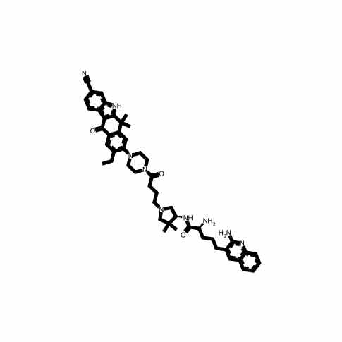 CCc1cc2c(cc1N1CCN(C(=O)CCCN3C[C@H](NC(=O)[C@@H](N)CCCc4cc5ccccc5nc4N)C(C)(C)C3)CC1)C(C)(C)c1[nH]c3cc(C#N)ccc3c1C2=O